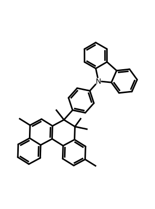 Cc1ccc2c(c1)C(C)(C)C(C)(c1ccc(-n3c4ccccc4c4ccccc43)cc1)c1cc(C)c3ccccc3c1-2